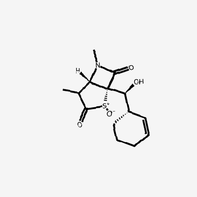 CC1C(=O)[S+]([O-])[C@@]2([C@@H](O)[C@@H]3C=CCCC3)C(=O)N(C)[C@@H]12